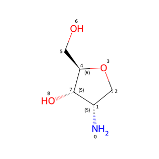 N[C@H]1[CH]O[C@H](CO)[C@H]1O